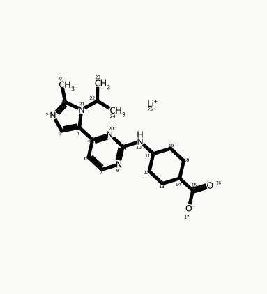 Cc1ncc(-c2ccnc(NC3CCC(C(=O)[O-])CC3)n2)n1C(C)C.[Li+]